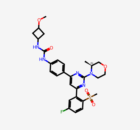 COC1CC(NC(=O)Nc2ccc(-c3cc(-c4cc(F)ccc4S(C)(=O)=O)nc(N4CCOC[C@@H]4C)n3)cc2)C1